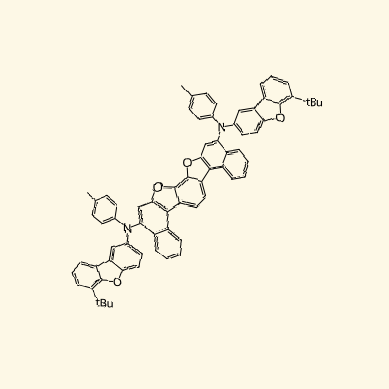 Cc1ccc(N(c2ccc3oc4c(C(C)(C)C)cccc4c3c2)c2cc3oc4c(ccc5c4oc4cc(N(c6ccc(C)cc6)c6ccc7oc8c(C(C)(C)C)cccc8c7c6)c6ccccc6c45)c3c3ccccc23)cc1